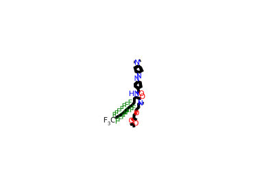 CN(CCCOCC1COC(C)(C)O1)C(=O)C(CCC(F)(F)C(F)(F)C(F)(F)C(F)(F)C(F)(F)C(F)(F)C(F)(F)C(F)(F)F)NC(=O)c1ccc(N=Nc2ccc(N(C)C)cc2)cc1